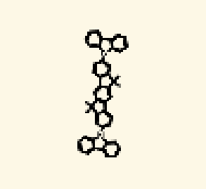 CC1(C)c2cc(-n3c4ccccc4c4ccccc43)ccc2-c2cc3c(cc21)-c1ccc(-n2c4ccccc4c4ccccc42)cc1C3(C)C